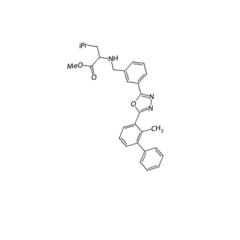 COC(=O)C(CC(C)C)NCc1cccc(-c2nnc(-c3cccc(-c4ccccc4)c3C)o2)c1